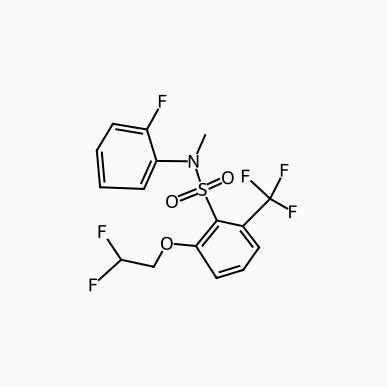 CN(c1ccccc1F)S(=O)(=O)c1c(OCC(F)F)cccc1C(F)(F)F